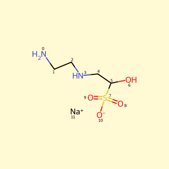 NCCNCC(O)S(=O)(=O)[O-].[Na+]